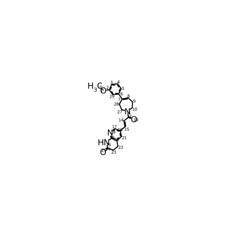 COc1cccc(C2=CCCN(C(=O)/C=C/c3cnc4c(c3)CCC(=O)N4)CC2)c1